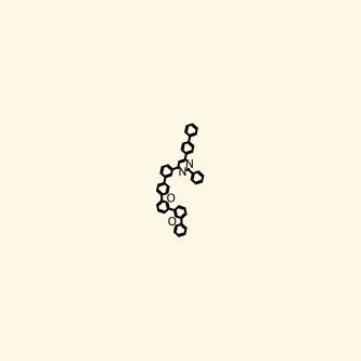 c1ccc(-c2ccc(-c3cc(-c4cccc(-c5ccc6c(c5)oc5c(-c7cccc8c7oc7ccccc78)cccc56)c4)nc(-c4ccccc4)n3)cc2)cc1